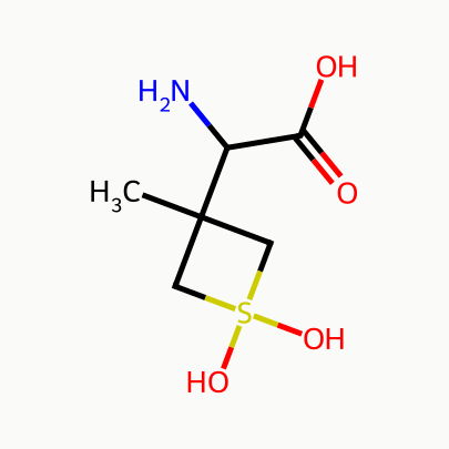 CC1(C(N)C(=O)O)CS(O)(O)C1